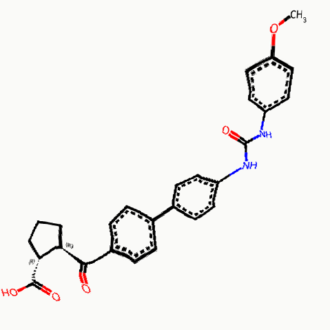 COc1ccc(NC(=O)Nc2ccc(-c3ccc(C(=O)[C@@H]4CCC[C@H]4C(=O)O)cc3)cc2)cc1